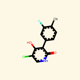 N#Cc1ccc(-c2c(O)c(Cl)c[nH]c2=O)cc1F